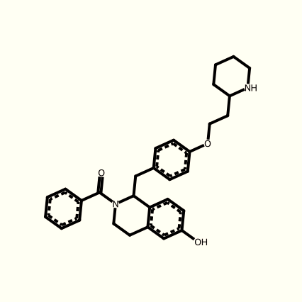 O=C(c1ccccc1)N1CCc2cc(O)ccc2C1Cc1ccc(OCCC2CCCCN2)cc1